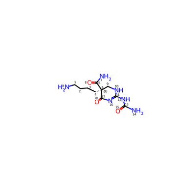 NCCCC[C@]1(C(N)=O)CNC(NC(N)=O)=NC1=O